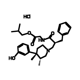 CC(C)COC(=O)CNC(=O)[C@@H](Cc1ccccc1)CN1CC[C@@](C)(c2cccc(O)c2)[C@@H](C)C1.Cl